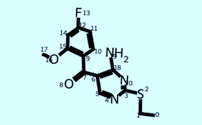 CCSc1ncc(C(=O)c2ccc(F)cc2OC)c(N)n1